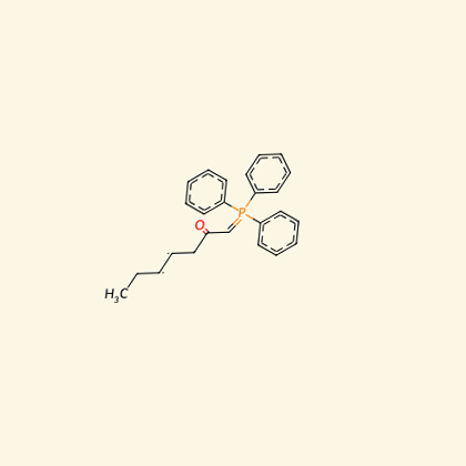 CC[CH][CH]CC(=O)C=P(c1ccccc1)(c1ccccc1)c1ccccc1